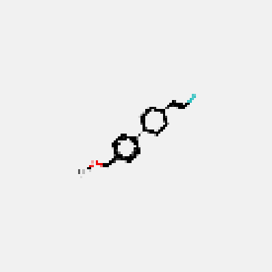 COCc1ccc([C@H]2CC[C@H](C=CF)CC2)cc1